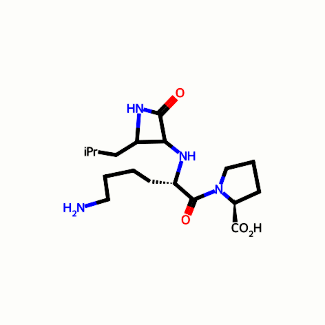 CC(C)CC1NC(=O)C1N[C@@H](CCCCN)C(=O)N1CCC[C@H]1C(=O)O